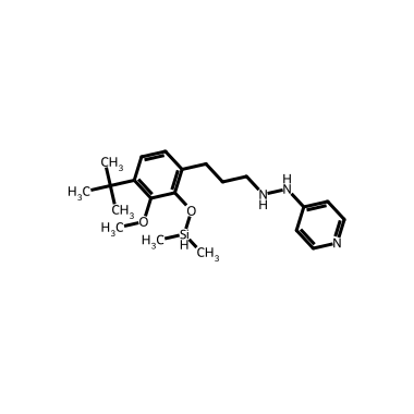 COc1c(C(C)(C)C)ccc(CCCNNc2ccncc2)c1O[SiH](C)C